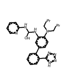 CC(C)CN(CC(C)C)c1ccc(-c2ccccc2-c2nnn[nH]2)cc1NC(O)Nc1ccccn1